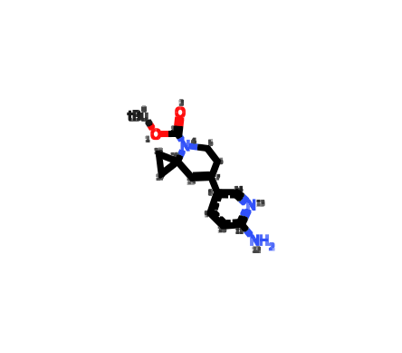 CC(C)(C)OC(=O)N1CCC(c2ccc(N)nc2)=CC12CC2